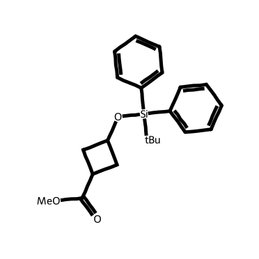 COC(=O)C1CC(O[Si](c2ccccc2)(c2ccccc2)C(C)(C)C)C1